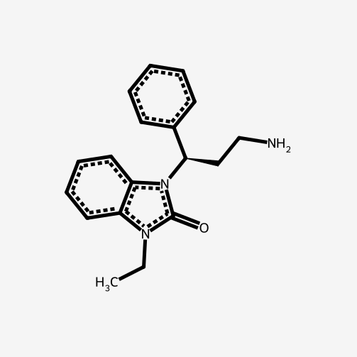 CCn1c(=O)n([C@H](CCN)c2ccccc2)c2ccccc21